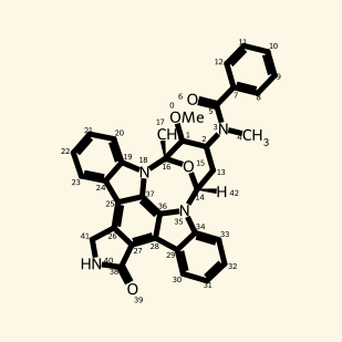 COC1C(N(C)C(=O)c2ccccc2)C[C@H]2O[C@]1(C)n1c3ccccc3c3c4c(c5c6ccccc6n2c5c31)C(=O)NC4